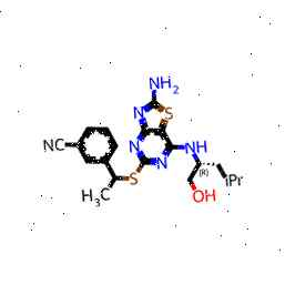 CC(C)C[C@H](CO)Nc1nc(SC(C)c2cccc(C#N)c2)nc2nc(N)sc12